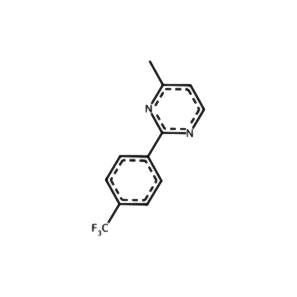 Cc1ccnc(-c2ccc(C(F)(F)F)cc2)n1